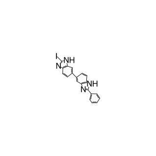 Ic1nc2ccc(-c3ccc4[nH]c(-c5ccccc5)nc4c3)cc2[nH]1